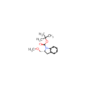 COC[C@H]1Cc2ccccc2N1C(=O)OC(C)(C)C